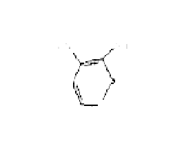 NC1=C(N)CSC=C1